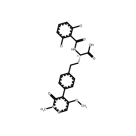 COc1cnn(C)c(=O)c1-c1ccc(CC[C@H](NC(=O)c2c(Cl)cccc2Cl)C(=O)O)cc1